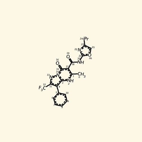 Cc1[nH]c2c(-c3ccccc3)c(C(F)(F)F)nn2c(=O)c1C(=O)Nc1nc(C(C)C)co1